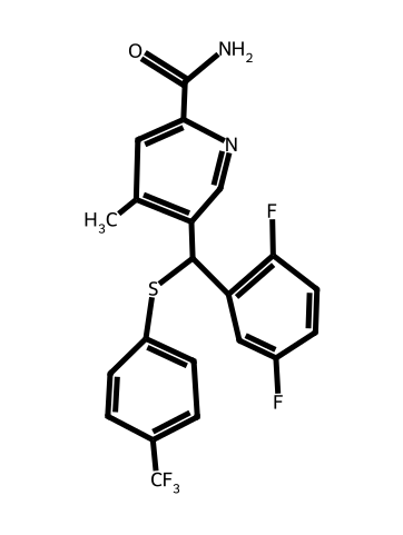 Cc1cc(C(N)=O)ncc1C(Sc1ccc(C(F)(F)F)cc1)c1cc(F)ccc1F